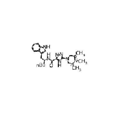 CCCCC(Cc1c[nH]c2ccccc12)NC(=O)c1nnc(N2C[C@@H](C)N(C)[C@H](C)C2)[nH]1